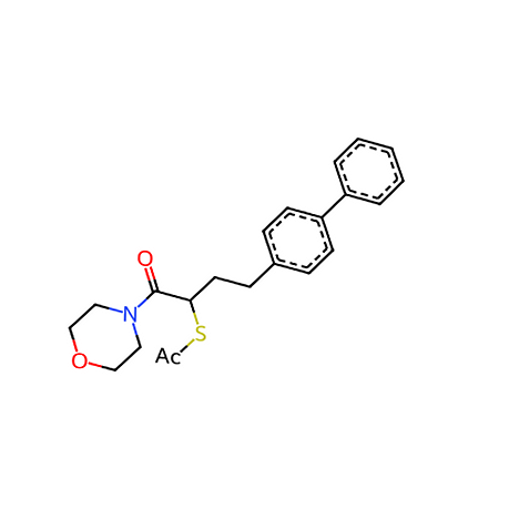 CC(=O)SC(CCc1ccc(-c2ccccc2)cc1)C(=O)N1CCOCC1